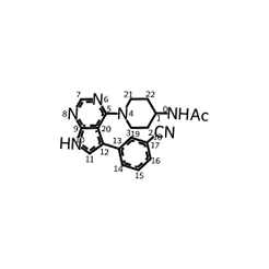 CC(=O)NC1CCN(c2ncnc3[nH]cc(-c4cccc(C#N)c4)c23)CC1